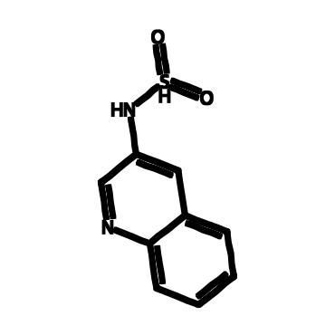 O=[SH](=O)Nc1cnc2ccccc2c1